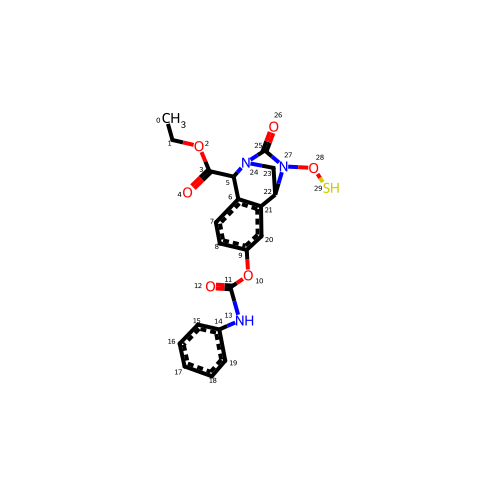 CCOC(=O)C1c2ccc(OC(=O)Nc3ccccc3)cc2C2CN1C(=O)N2OS